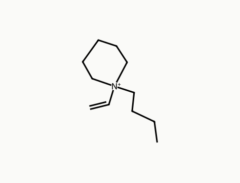 C=C[N+]1(CCCC)CCCCC1